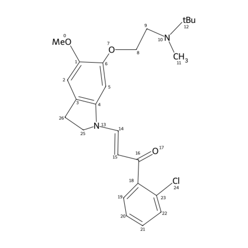 COc1cc2c(cc1OCCN(C)C(C)(C)C)N(C=CC(=O)c1ccccc1Cl)CC2